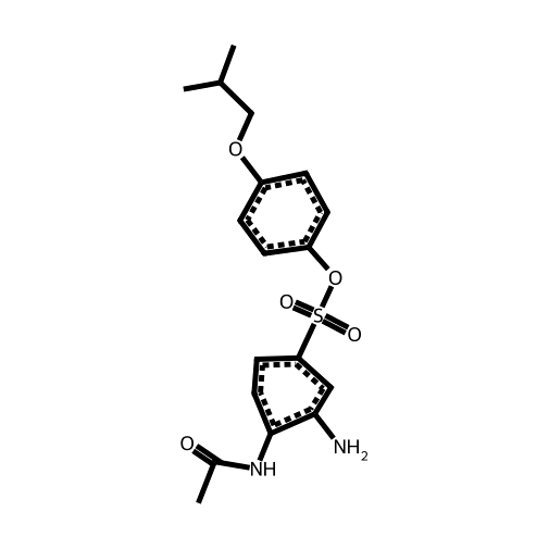 CC(=O)Nc1ccc(S(=O)(=O)Oc2ccc(OCC(C)C)cc2)cc1N